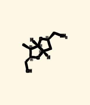 C[C@H]1[C@@H]2O[C@@H](CN)C[C@@H]2O[C@@H]1CO